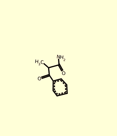 CC(C(N)=O)C(=O)c1ccccc1